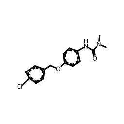 CN(C)C(=O)Nc1ccc(OCc2ccc(Cl)cc2)cc1